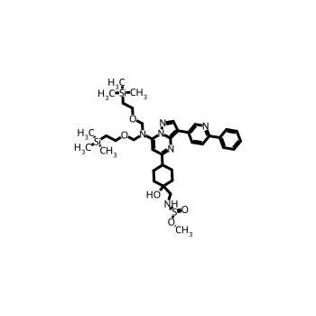 CO[SH](=O)=NCC1(O)CCC(c2cc(N(COCC[Si](C)(C)C)COCC[Si](C)(C)C)n3ncc(-c4ccc(-c5ccccc5)nc4)c3n2)CC1